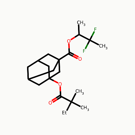 CCC(C)(C)C(=O)OC12CC3CC(C1)CC(C(=O)OC(C)C(C)(F)F)(C3)C2